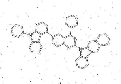 c1ccc(-c2nc(-n3c4ccccc4c4cc5ccccc5cc43)nc3ccc(-c4cccc5c4c4ccccc4n5-c4ccccc4)cc23)cc1